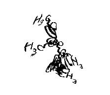 CCCC(=O)OCC(COC(=O)CCCC(OC(=O)CC)C(COC(=O)CC)OC(=O)CC)OC(=O)CCC